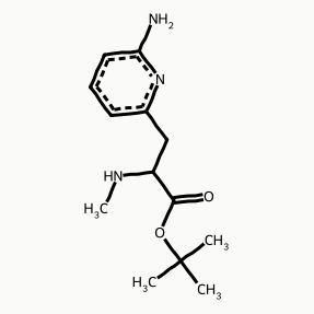 CNC(Cc1cccc(N)n1)C(=O)OC(C)(C)C